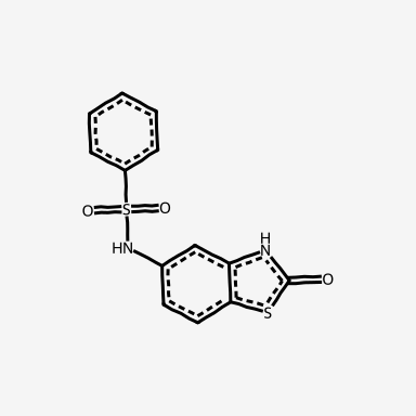 O=c1[nH]c2cc(NS(=O)(=O)c3ccccc3)ccc2s1